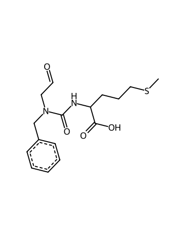 CSCCCC(NC(=O)N(CC=O)Cc1ccccc1)C(=O)O